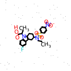 CCCN(C1CCc2c(c3cc(F)ccc3n2C(CC)C(=O)O)C1)S(=O)(=O)c1ccc([N+](=O)[O-])cc1